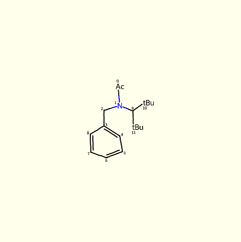 CC(=O)N(Cc1ccccc1)C(C(C)(C)C)C(C)(C)C